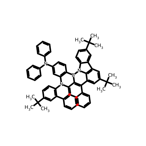 CC(C)(C)c1ccc(N2c3cc(N(c4ccccc4)c4ccccc4)ccc3B3c4c2cc2ccccc2c4-c2cc(C(C)(C)C)cc4c5cc(C(C)(C)C)ccc5n3c24)c(-c2ccccc2)c1